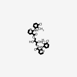 Cc1c(Cl)cccc1Nc1ncccc1C(=O)OCC(O)C(O)COC(=O)c1cccnc1Nc1cccc(Cl)c1C